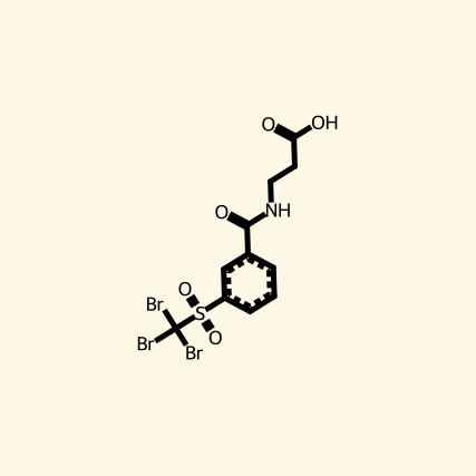 O=C(O)CCNC(=O)c1cccc(S(=O)(=O)C(Br)(Br)Br)c1